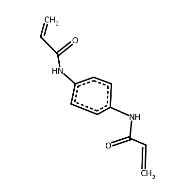 C=CC(=O)Nc1ccc(NC(=O)C=C)cc1